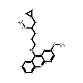 CNC(CCCNc1c2ccccc2nc2ccc(OC)cc12)CC1CC1